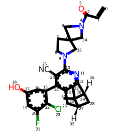 C=CC(=O)N1CC2(CCN(c3nc4c(c(-c5cc(O)cc(F)c5Cl)c3C#N)C[C@H]3C[C@@H]4C3(C)C)C2)C1